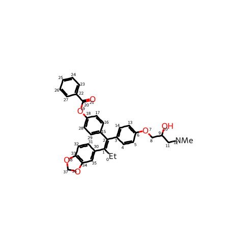 CCC(=C(c1ccc(OCC(O)CNC)cc1)c1ccc(OC(=O)c2ccccc2)cc1)c1ccc2c(c1)OCO2